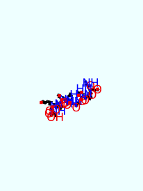 C/C=C/C[C@@H](C)C[C@@H](C(=O)N[C@@H](CC)C(=O)O)N(C)C(=O)C(C(C)C)N(C)C(=O)[C@H](CC(C)C)N(C)C(=O)[C@H](CC(C)C)N(C)C(=O)[C@@H](C)NC(=O)[C@H](C)NC(=O)[C@H](CC(C)C)N(C)C(=O)C(NC(=O)[C@@H](NC(=O)CNC)[C@H](C)COC)C(C)C